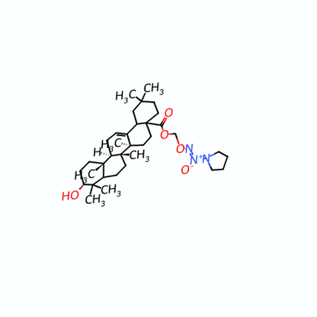 CC1(C)CCC2(C(=O)OCO/N=[N+](\[O-])N3CCCC3)CC[C@]3(C)C(=CC[C@@H]4[C@@]5(C)CC[C@H](O)C(C)(C)C5CC[C@]43C)C2C1